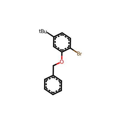 CC(C)(C)c1ccc(Br)c(OCc2ccccc2)c1